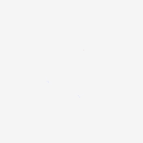 BrC1(c2ccccc2)C=CC=CC1.c1cncc(-c2cccnc2)c1